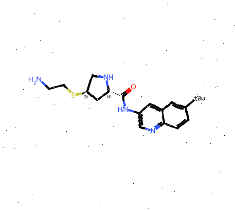 CC(C)(C)c1ccc2ncc(NC(=O)[C@@H]3C[C@@H](SCCN)CN3)cc2c1